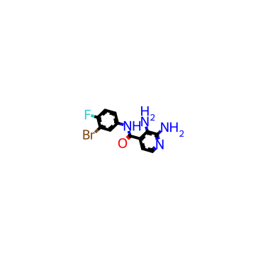 Nc1nccc(C(=O)Nc2ccc(F)c(Br)c2)c1N